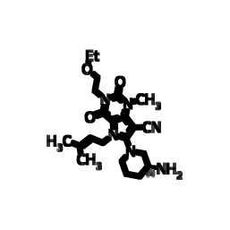 CCOCCn1c(=O)c2c(c(C#N)c(N3CCC[C@H](N)C3)n2CC=C(C)C)n(C)c1=O